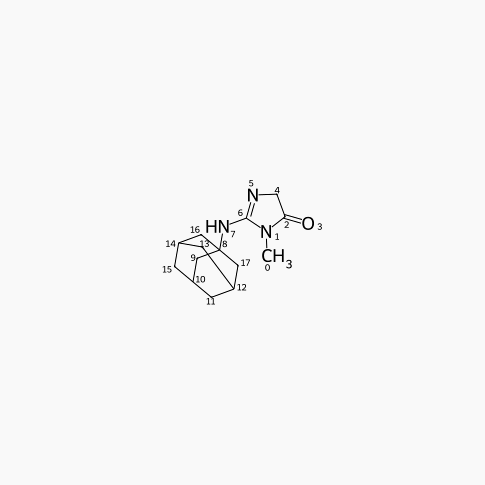 CN1C(=O)CN=C1NC12CC3CC(CC(C3)C1)C2